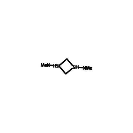 CN[SiH]1C[SiH](NC)C1